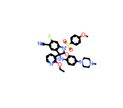 CCOc1ncccc1C1(Nc2ccc(N3CCN(C)CC3)cc2)C(=O)N(S(=O)(=O)c2ccc(OC)cc2)c2cc(F)c(C#N)cc21